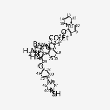 CCOC(=O)c1c(CCCOc2cccc3ccccc23)c2cccc(-c3c(CBr)n[nH]c3COc3ccc(N4CCN(S)CC4)cc3)c2n1CCCN